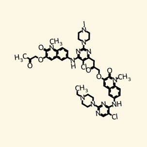 CCN1CCN(c2ncc(Cl)c(Nc3ccc4c(c3)cc(OCC(=O)Cc3nc(N5CCN(I)CC5)nc(Nc5ccc6c(c5)cc(OCC(C)=O)c(=O)n6C)c3Cl)c(=O)n4C)n2)CC1